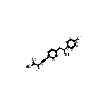 CCCCC(CC)C(O)C#Cc1ccc(CC([NH])c2ccc(C(F)(F)F)cc2)cc1